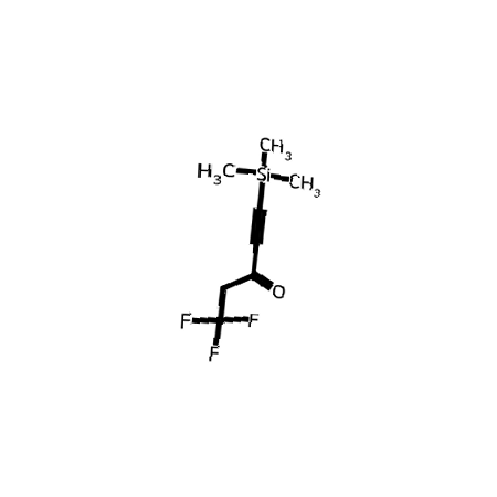 C[Si](C)(C)C#CC(=O)CC(F)(F)F